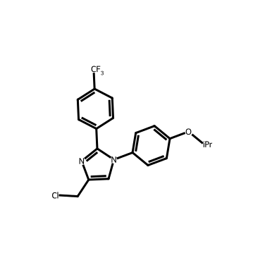 CC(C)Oc1ccc(-n2cc(CCl)nc2-c2ccc(C(F)(F)F)cc2)cc1